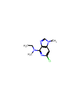 CCN(C)c1nc(Cl)cc2c1ncn2C